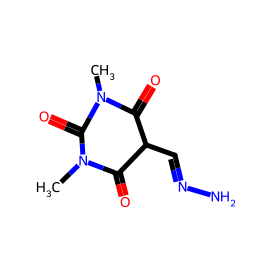 CN1C(=O)C(/C=N/N)C(=O)N(C)C1=O